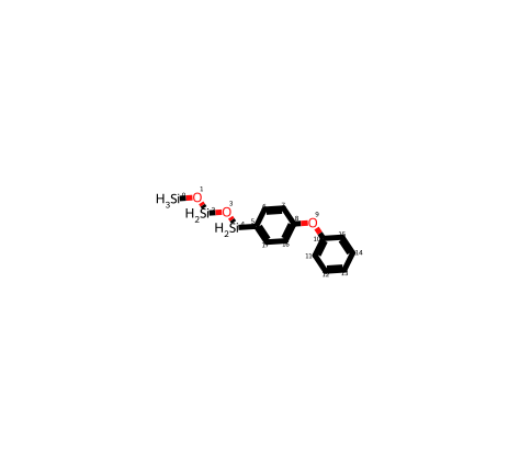 [SiH3]O[SiH2]O[SiH2]c1ccc(Oc2ccccc2)cc1